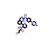 CN1CCN(c2ccc(Nc3ncc4cccc(-c5ncccc5NC(=O)/C=C/F)c4n3)cc2)CC1